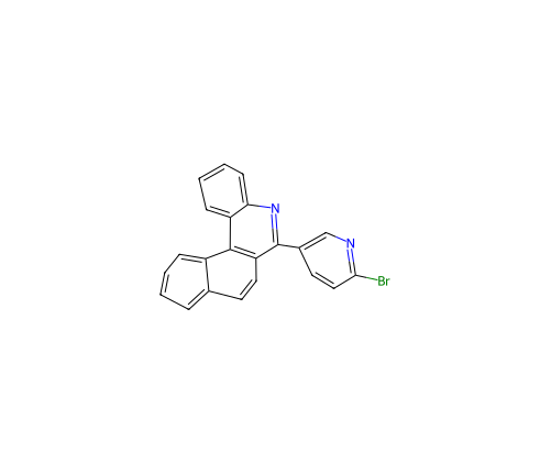 Brc1ccc(-c2nc3ccccc3c3c2ccc2ccccc23)cn1